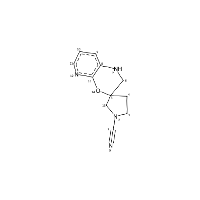 N#CN1CCC2(CNc3cccnc3O2)C1